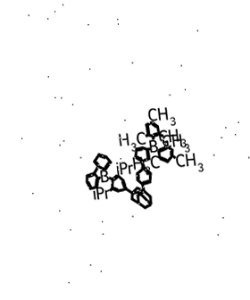 Cc1cc(C)c(B(c2cccc(-c3ccc(C45CC6CC(C4)CC(c4cc(C(C)C)c(B7c8ccccc8-c8ccccc87)c(C(C)C)c4)(C6)C5)cc3)c2)c2c(C)cc(C)cc2C)c(C)c1